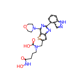 O=C(CCCN(Cc1cc2nc(-c3cccc4[nH]ncc34)nc(N3CCOCC3)c2s1)C(=O)O)NO